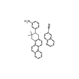 CC1(C)Cc2c(ccc3c2ccc2ccccc23)CC1c1cccc(N)c1.N#Cc1ccc2ncccc2c1